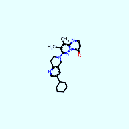 Cc1c(N2CCc3ncc(C4CCCCC4)cc3C2)nn2c(=O)ccnc2c1C